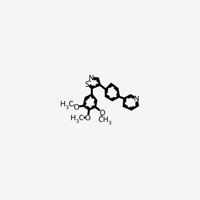 COc1cc(-c2sncc2-c2ccc(-c3cccnc3)cc2)cc(OC)c1OC